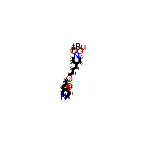 CC(C)(C)OC(=O)N1CCC(CCCCOCc2cc3cnccc3o2)CC1